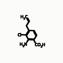 C=CCc1ccc(C(=O)O)c(N)c1Cl